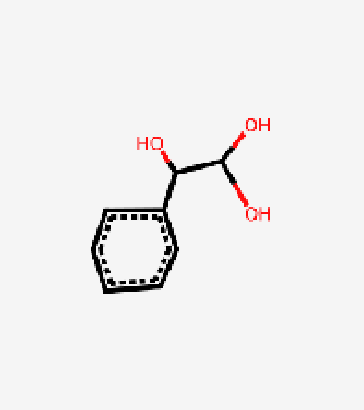 O[C](O)C(O)c1ccccc1